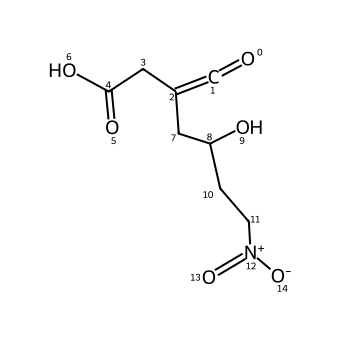 O=C=C(CC(=O)O)CC(O)CC[N+](=O)[O-]